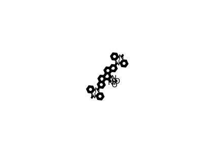 CN1c2ccccc2N(c2ccc3c(ccc4c5ccc6cc(N7c8ccccc8N(C)c8ccccc87)ccc6c5c5c(c34)=NS(=O)(=O)N=5)c2)c2ccccc21